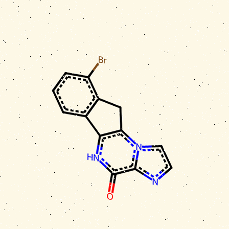 O=c1[nH]c2c(n3ccnc13)Cc1c(Br)cccc1-2